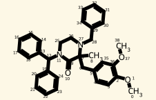 COc1ccc(CC2(C)C(=O)N(C(c3ccccc3)c3ccccc3)CCN2Cc2ccccc2)cc1OC